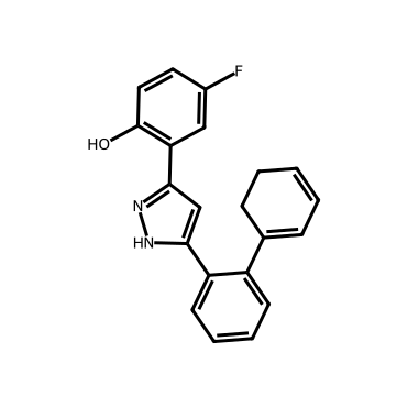 Oc1ccc(F)cc1-c1cc(-c2ccccc2C2=CC=CCC2)[nH]n1